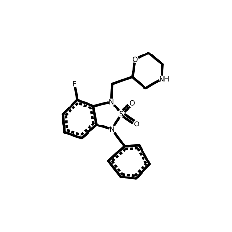 O=S1(=O)N(CC2CNCCO2)c2c(F)cccc2N1c1ccccc1